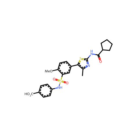 COc1ccc(-c2sc(NC(=O)C3CCCC3)nc2C)cc1S(=O)(=O)Nc1ccc(C(=O)O)cc1